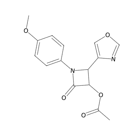 COc1ccc(N2C(=O)C(OC(C)=O)C2c2cocn2)cc1